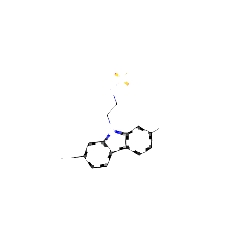 COc1ccc2c3ccc(OC)cc3n(CCNS(C)(=O)=O)c2c1